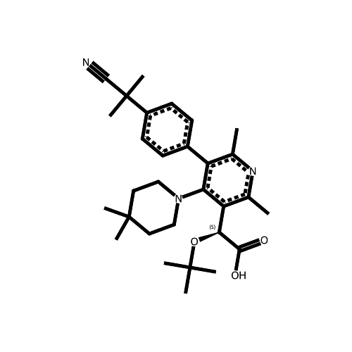 Cc1nc(C)c([C@H](OC(C)(C)C)C(=O)O)c(N2CCC(C)(C)CC2)c1-c1ccc(C(C)(C)C#N)cc1